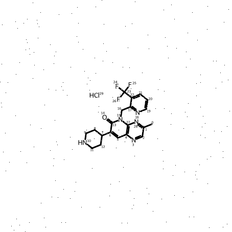 Cc1cnc2cc(C3CCNCC3)c(=O)n(Cc3ncccc3C(F)(F)F)c2n1.Cl